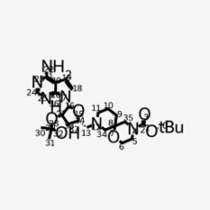 CC(C)(C)OC(=O)N1CCOC2(CCCN(C[C@H]3O[C@@H](n4ccc5c(N)ncnc54)[C@@H]4OC(C)(C)O[C@@H]43)C2)C1